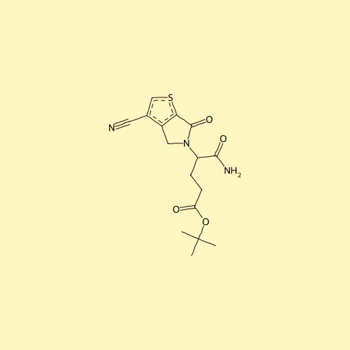 CC(C)(C)OC(=O)CCC(C(N)=O)N1Cc2c(C#N)csc2C1=O